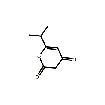 CC(C)C1=CC(=O)CC(=O)O1